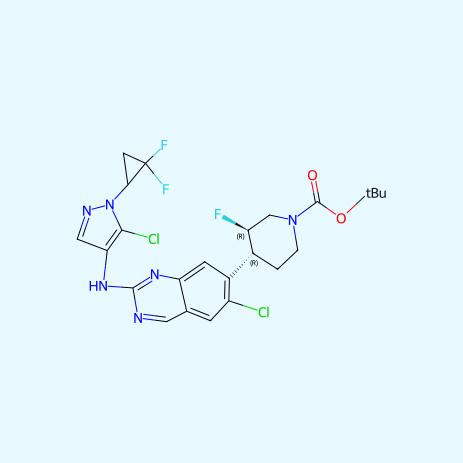 CC(C)(C)OC(=O)N1CC[C@H](c2cc3nc(Nc4cnn(C5CC5(F)F)c4Cl)ncc3cc2Cl)[C@@H](F)C1